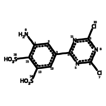 Nc1cc(-c2nc(Cl)nc(Cl)n2)cc(S(=O)(=O)O)c1S(=O)(=O)O